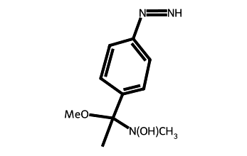 COC(C)(c1ccc(N=N)cc1)N(C)O